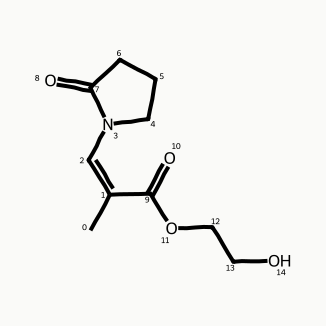 CC(=CN1CCCC1=O)C(=O)OCCO